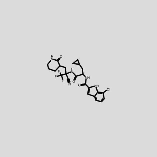 N#CC(CC1CCCNC1=O)(NC(=O)C(CC1CC1)NC(=O)c1cc2cccc(Cl)c2[nH]1)C(F)(F)F